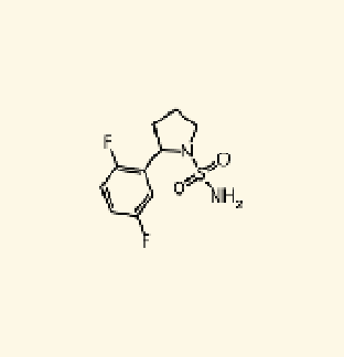 NS(=O)(=O)N1CCCC1c1cc(F)ccc1F